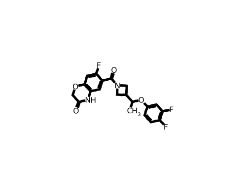 CC(Oc1ccc(F)c(F)c1)C1CN(C(=O)c2cc3c(cc2F)OCC(=O)N3)C1